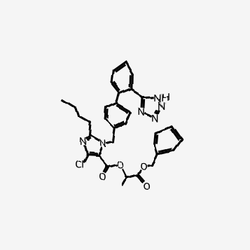 CCCCc1nc(Cl)c(C(=O)OC(C)C(=O)OCc2ccccc2)n1Cc1ccc(-c2ccccc2-c2nnn[nH]2)cc1